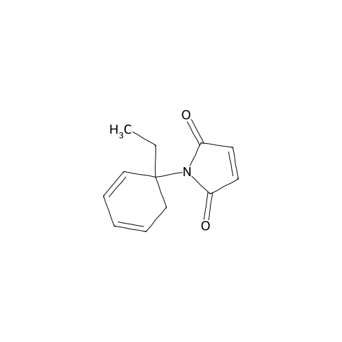 CCC1(N2C(=O)C=CC2=O)C=CC=CC1